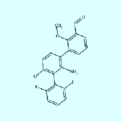 COc1c(C=O)cccc1-c1cc[n+]([O-])c(-c2c(F)cccc2F)c1N